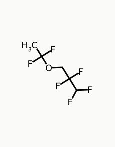 CC(F)(F)OCC(F)(F)C(F)F